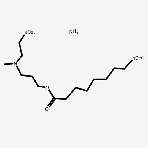 CCCCCCCCCCCCCCCCCC(=O)OCCCN(C)CCCCCCCCCCCC.N